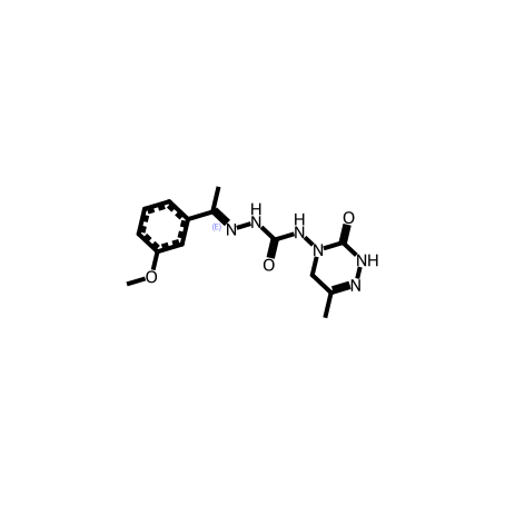 COc1cccc(/C(C)=N/NC(=O)NN2CC(C)=NNC2=O)c1